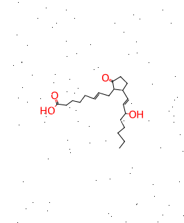 CCCCCC(O)C=CC1CCC(=O)C1CC=CCCCCC(=O)O